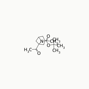 CC(=O)C12CC(C)CC(C1)N2C(=O)OC(C)(C)C